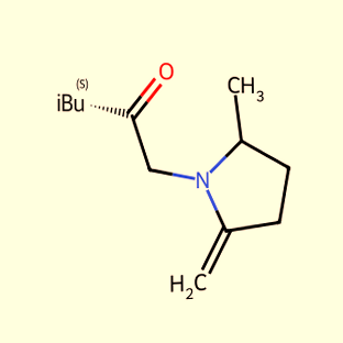 C=C1CCC(C)N1CC(=O)[C@@H](C)CC